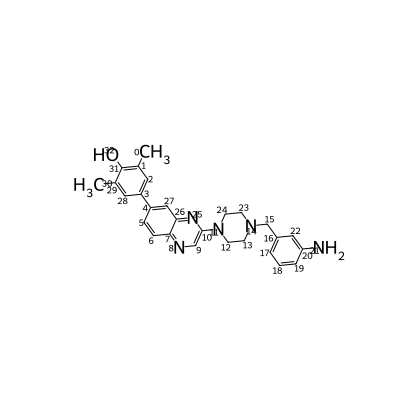 Cc1cc(-c2ccc3ncc(N4CCN(Cc5cccc(N)c5)CC4)nc3c2)cc(C)c1O